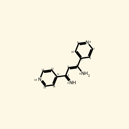 N=C(/C=C(\N)c1ccncc1)c1ccncc1